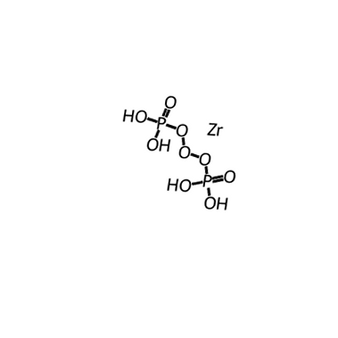 O=P(O)(O)OOOP(=O)(O)O.[Zr]